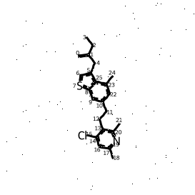 C=C(CC)Cc1csc2cc(CCc3c(Cl)cc(C)nc3C)cc(C)c12